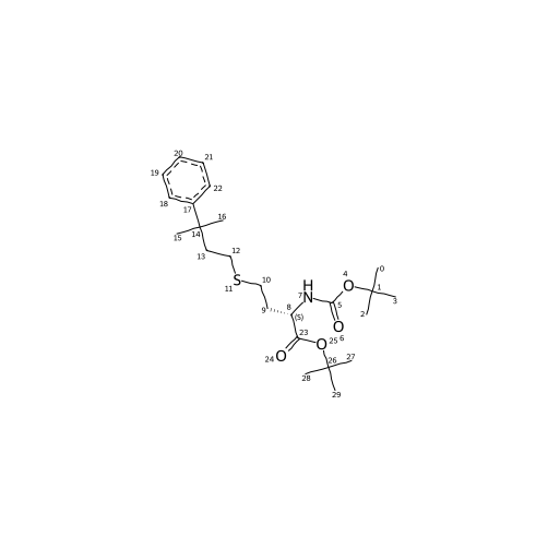 CC(C)(C)OC(=O)N[C@@H](CCSCCC(C)(C)c1ccccc1)C(=O)OC(C)(C)C